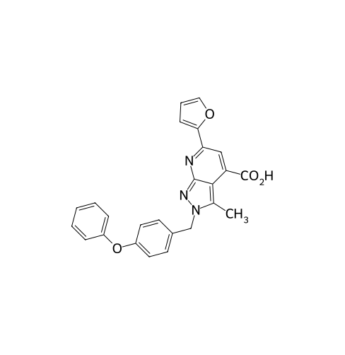 Cc1c2c(C(=O)O)cc(-c3ccco3)nc2nn1Cc1ccc(Oc2ccccc2)cc1